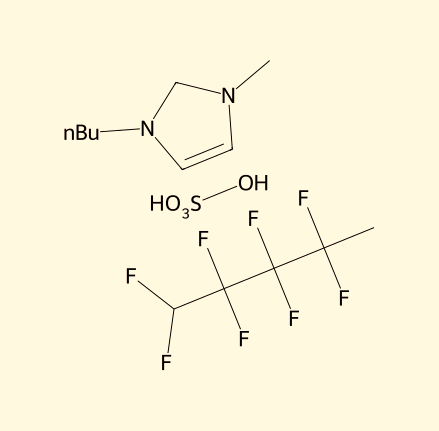 CC(F)(F)C(F)(F)C(F)(F)C(F)F.CCCCN1C=CN(C)C1.O=S(=O)(O)O